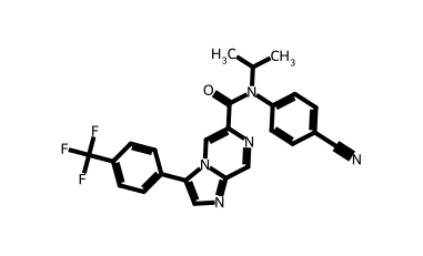 CC(C)N(C(=O)c1cn2c(-c3ccc(C(F)(F)F)cc3)cnc2cn1)c1ccc(C#N)cc1